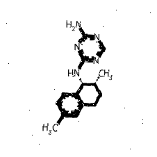 Cc1ccc2c(c1)CC[C@@H](C)[C@H]2Nc1ncnc(N)n1